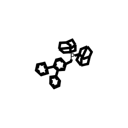 c1ccc(-c2ccc(CP(C34CC5CC(CC(C5)C3)C4)C34CC5CC(CC(C5)C3)C4)cc2-c2ccccc2)cc1